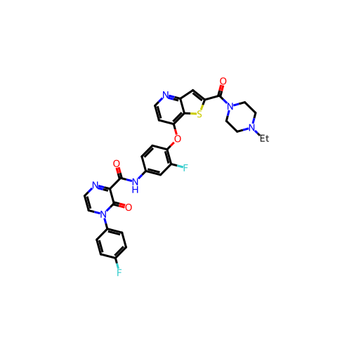 CCN1CCN(C(=O)c2cc3nccc(Oc4ccc(NC(=O)c5nccn(-c6ccc(F)cc6)c5=O)cc4F)c3s2)CC1